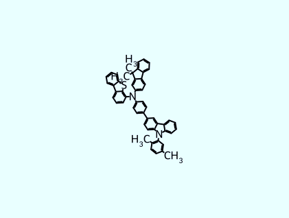 Cc1ccc(C)c(-n2c3ccccc3c3cc(-c4ccc(N(c5ccc6c(c5)C(C)(C)c5ccccc5-6)c5cccc6c5sc5ccccc56)cc4)ccc32)c1